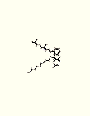 CCCCCCCCCCOc1c(OC(C)=O)c(=O)oc2cccc(OC/C=C(\C)CCC=C(C)C)c12